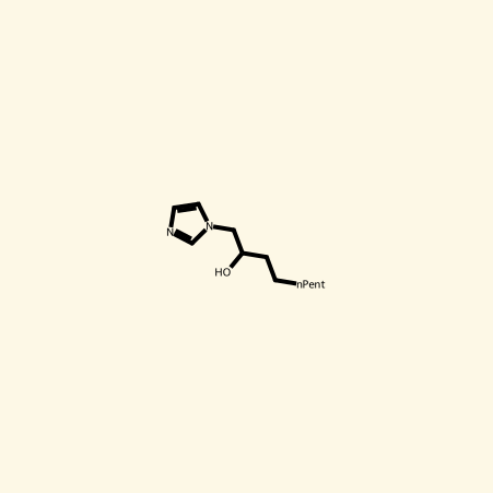 CCCCCCCC(O)Cn1ccnc1